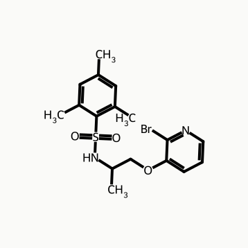 Cc1cc(C)c(S(=O)(=O)NC(C)COc2cccnc2Br)c(C)c1